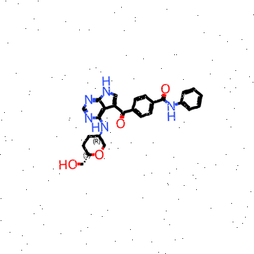 O=C(Nc1ccccc1)c1ccc(C(=O)c2c[nH]c3ncnc(N[C@@H]4CC[C@@H](CO)OC4)c23)cc1